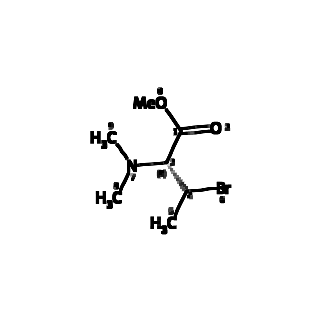 COC(=O)[C@H](C(C)Br)N(C)C